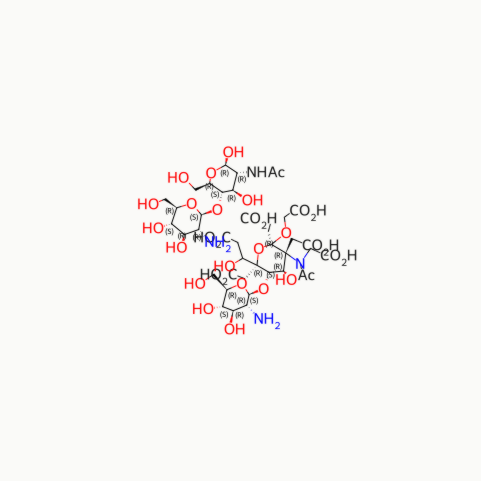 CC(=O)N(CC(=O)O)[C@]1(CC(=O)O)[C@@H](O)[C@H](O[C@@H]2O[C@H](CO)[C@@H](O)[C@H](O)[C@H]2N)[C@@](CC(=O)O)(C(O)CC(=O)O)O[C@@]1(CC(=O)O)OCC(=O)O.CC(=O)N[C@@H]1[C@@H](O)[C@H](O[C@@H]2O[C@H](CO)[C@@H](O)[C@H](O)[C@H]2N)[C@@H](CO)O[C@H]1O